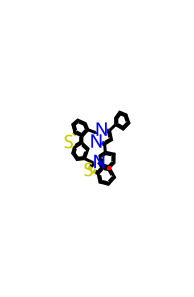 c1ccc(-c2cc(-c3ccccc3)nc(-c3cccc4sc5ccc(-c6nc7ccccc7s6)cc5c34)n2)cc1